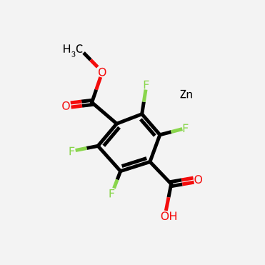 COC(=O)c1c(F)c(F)c(C(=O)O)c(F)c1F.[Zn]